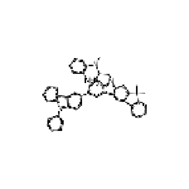 CN(c1ccccc1N)C1Cn2c3cc4c(cc3c3cc(-c5ccc6c(c5)c5ccccc5n6-c5ccccc5)cc1c32)-c1ccccc1C4(C)C